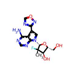 C[C@]1(F)[C@H](O)[C@@H](CO)O[C@H]1n1cc(-c2ncon2)c2c(N)ncnc21